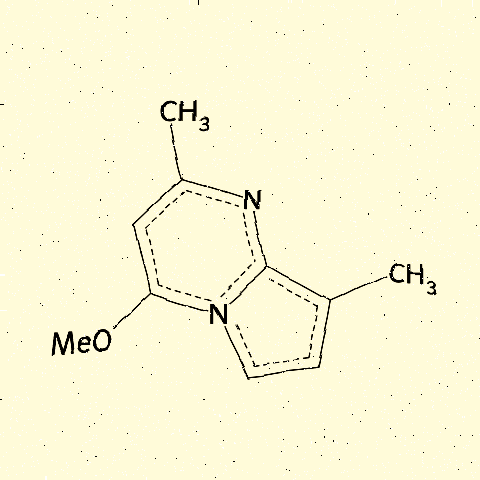 COc1cc(C)nc2c(C)ccn12